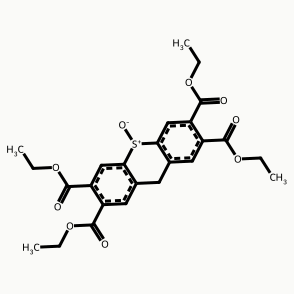 CCOC(=O)c1cc2c(cc1C(=O)OCC)[S+]([O-])c1cc(C(=O)OCC)c(C(=O)OCC)cc1C2